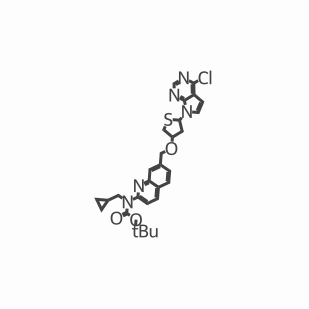 CC(C)(C)OC(=O)N(CC1CC1)c1ccc2ccc(COC3CSC(n4ccc5c(Cl)ncnc54)C3)cc2n1